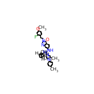 COc1ccc(CCn2cnc3cc(NC(=NC4C[C@@H]5C[C@H]([C@@H]4C)C5(C)C)N4CCN(c5ccc(C)cc5)C(C)C4)ccc3c2=O)c(F)c1